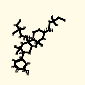 CCC(C)(C)CNC1CCN(C2(NCC(C)(C)CC)CCN(c3ncnc(Cl)n3)C(C)(C)C2)C(C)(C)C1